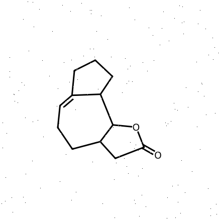 O=C1CC2CCC=C3CCCC3C2O1